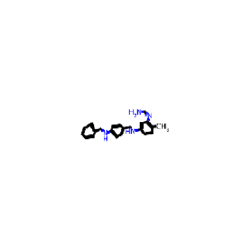 Cc1ccc(NCc2ccc(NCc3ccccc3)cc2)cc1/N=C\N